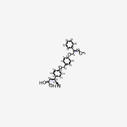 CO/N=C(\COc1ccc(COc2ccc(/C(C#N)=C/C(O)O)cc2)cc1)c1ccccc1